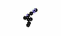 C1=CC2N=C(c3ccc(-c4cnc5c6ccccc6c6cc(-c7ccc8ccccc8c7)c7ccccc7c6c5c4)cc3)N=C2N=C1